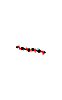 C=C(C)C(=O)OCOc1ccc(CCC(=O)Oc2ccc(S(=O)(=O)c3ccc(OC(=O)CCc4ccc(OCOC(=O)C(=C)C)cc4F)cc3)cc2)c(F)c1